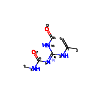 C=C(C)N/C(=N/C(=O)NC)NC=O